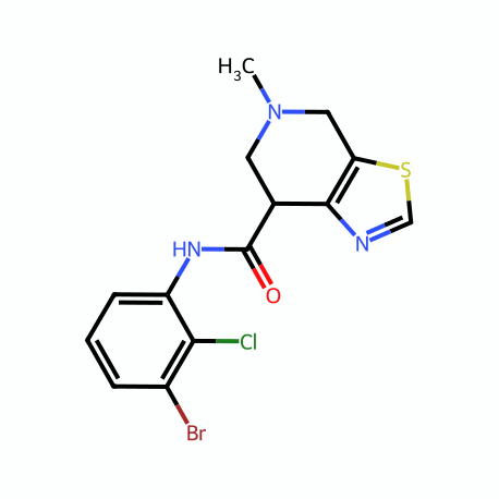 CN1Cc2scnc2C(C(=O)Nc2cccc(Br)c2Cl)C1